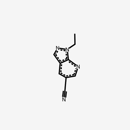 CCn1ncc2cc(C#N)cnc21